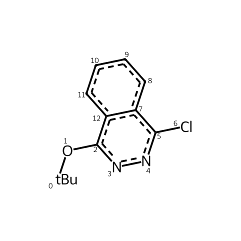 CC(C)(C)Oc1nnc(Cl)c2ccccc12